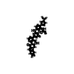 C=CC(=O)Nc1cc(Nc2nc(-c3ccnc(N4CCn5c(cc6c5CC(C)(C)C6)C4=O)c3CO)cn(C)c2=O)ccc1N1CC[C@@H](N(C)C)C1